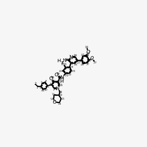 CCc1ccc(-c2cn(CC3CCOCC3)cc(C(=O)Nc3ccc(-c4cc(-c5ccc(OC)c(OC)c5)cnc4N)c(F)c3)c2=O)cc1